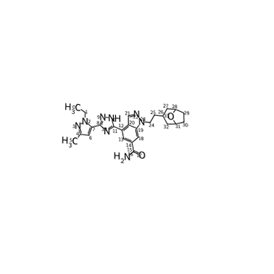 CCn1nc(C)cc1-c1n[nH]c(-c2cc(C(N)=O)cc3c2cnn3CCC2CC3CCC(C2)O3)n1